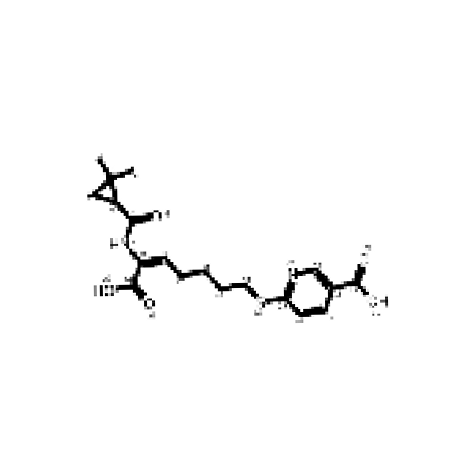 CC1(C)CC1C(=O)N/C(=C/CCCCSc1ccc(C(=O)O)cn1)C(=O)O